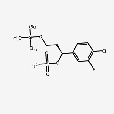 CC(C)(C)[Si](C)(C)OCC[C@H](OS(C)(=O)=O)c1ccc(Cl)c(F)c1